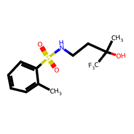 Cc1ccccc1S(=O)(=O)NCCC(C)(O)C(F)(F)F